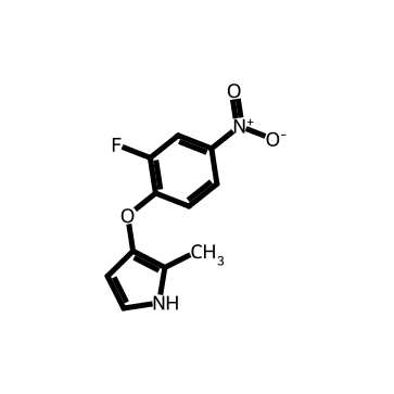 Cc1[nH]ccc1Oc1ccc([N+](=O)[O-])cc1F